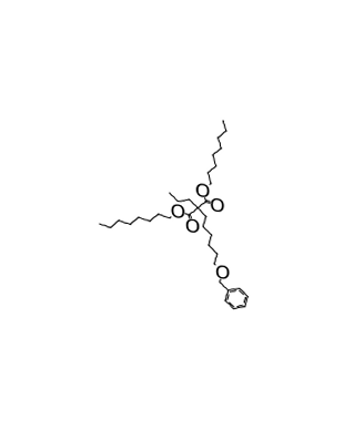 CCCCCCCCOC(=O)C(CCC)(CCCCCCOCc1ccccc1)C(=O)OCCCCCCCC